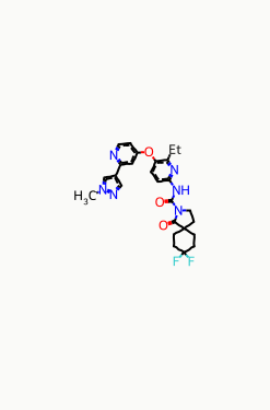 CCc1nc(NC(=O)N2CCC3(CCC(F)(F)CC3)C2=O)ccc1Oc1ccnc(-c2cnn(C)c2)c1